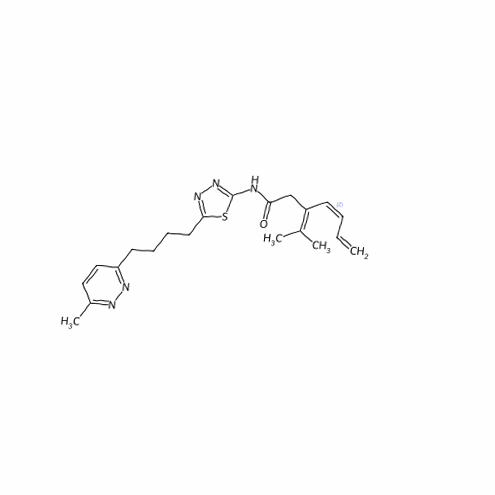 C=C/C=C\C(CC(=O)Nc1nnc(CCCCc2ccc(C)nn2)s1)=C(C)C